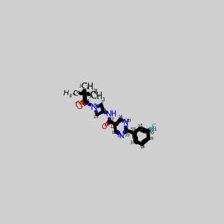 CC(C)(C)C(=O)N1CC(NC(=O)c2cnc(-c3cccc(F)c3)nc2)C1